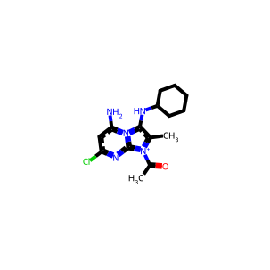 CC(=O)[n+]1c(C)c(NC2CCCCC2)n2c(N)cc(Cl)nc21